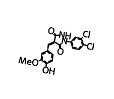 COc1cc(C=C2C(=O)NN(c3ccc(Cl)c(Cl)c3)C2=O)ccc1O